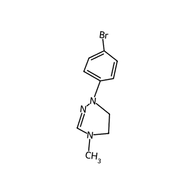 CN1C=NN(c2ccc(Br)cc2)CC1